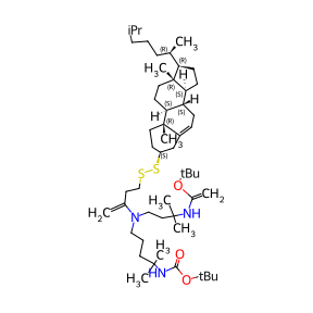 C=C(NC(C)(C)CCN(CCCC(C)(C)NC(=O)OC(C)(C)C)C(=C)CCSS[C@H]1CC[C@@]2(C)C(=CC[C@H]3[C@@H]4CC[C@H]([C@H](C)CCCC(C)C)[C@@]4(C)CC[C@@H]32)C1)OC(C)(C)C